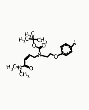 CN(C)C(=O)/C=C\CN(CCOc1ccc(I)cc1)C(=O)OC(C)(C)C